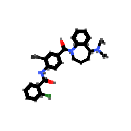 COc1cc(C(=O)N2CCCC(N(C)C)c3ccccc32)ccc1NC(=O)c1ccccc1Cl